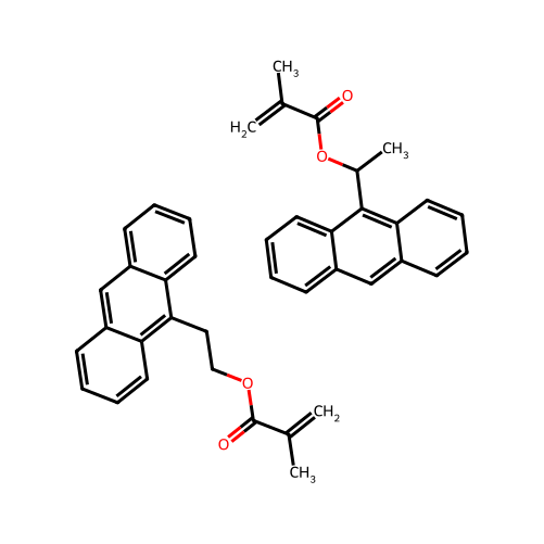 C=C(C)C(=O)OC(C)c1c2ccccc2cc2ccccc12.C=C(C)C(=O)OCCc1c2ccccc2cc2ccccc12